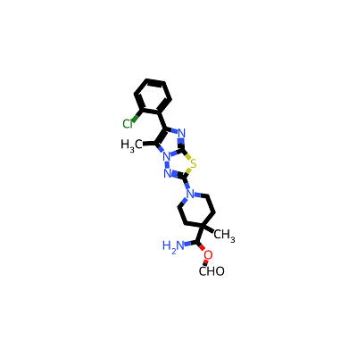 Cc1c(-c2ccccc2Cl)nc2sc(N3CCC(C)(C(N)OC=O)CC3)nn12